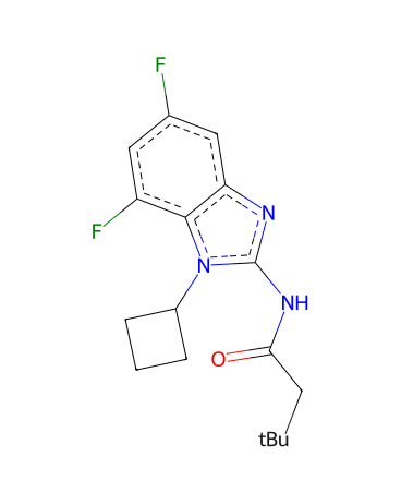 CC(C)(C)CC(=O)Nc1nc2cc(F)cc(F)c2n1C1CCC1